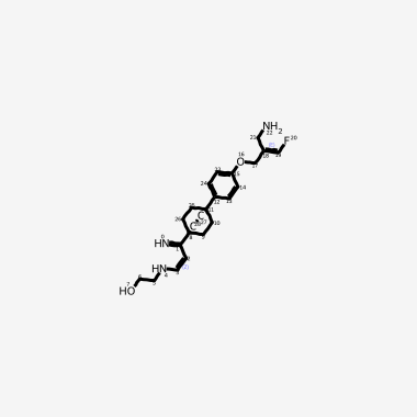 N=C(/C=C\NCCO)C12CCC(c3ccc(OC/C(=C/F)CN)cc3)(CC1)CC2